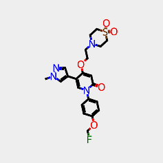 Cn1cc(-c2cn(-c3ccc(OCF)cc3)c(=O)cc2OCCN2CCS(=O)(=O)CC2)cn1